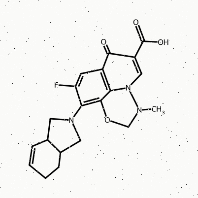 CN1COc2c(N3CC4C=CCCC4C3)c(F)cc3c(=O)c(C(=O)O)cn1c23